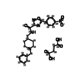 O=C(NCC1CCN(Cc2ccccc2)CC1)c1noc(-c2ccc([N+](=O)[O-])cc2)n1.O=C(O)C=CC(=O)O